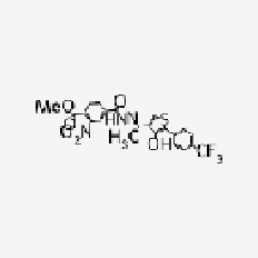 COC(=O)c1ccc(C(=O)N/N=C(\C)c2csc(-c3ccc(C(F)(F)F)cc3)c2O)cc1[N+](=O)[O-]